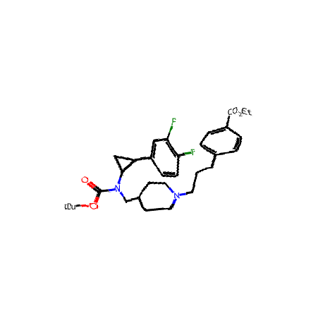 CCOC(=O)c1ccc(CCCN2CCC(CN(C(=O)OC(C)(C)C)C3CC3c3ccc(F)c(F)c3)CC2)cc1